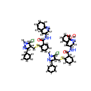 Cn1nc(-c2ccccc2)c(CSc2ccccc2C(=O)Nc2cnc3ccccc3c2)c1Cl.Cn1nc(-c2ccccc2)c(CSc2ccccc2C(=O)Nc2cnc3ccccc3c2)c1Cl.O